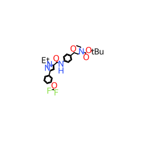 CCn1nc(-c2cccc(OC(F)F)c2)cc1C(=O)Nc1ccc(C2CN(C(=O)OC(C)(C)C)CCO2)cc1